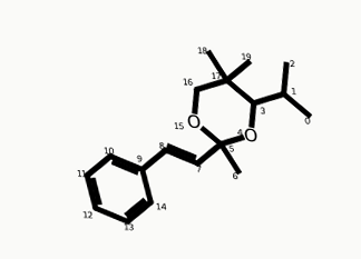 CC(C)C1OC(C)(C=Cc2ccccc2)OCC1(C)C